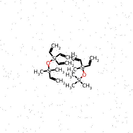 C=C[Si](C)(C)O[Si](C=C)(C=C)C=C.C=C[Si](C)(C=C)O[Si](C)(C)C